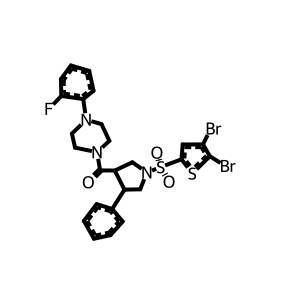 O=C(C1CN(S(=O)(=O)c2cc(Br)c(Br)s2)CC1c1ccccc1)N1CCN(c2ccccc2F)CC1